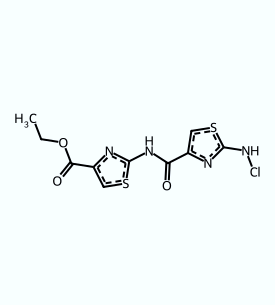 CCOC(=O)c1csc(NC(=O)c2csc(NCl)n2)n1